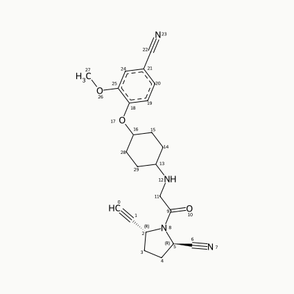 C#C[C@H]1CC[C@H](C#N)N1C(=O)CNC1CCC(Oc2ccc(C#N)cc2OC)CC1